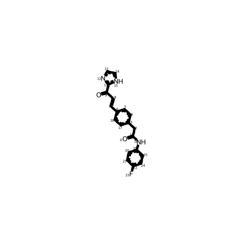 O=C(Cc1ccc(C=CC(=O)c2ncc[nH]2)cc1)Nc1ccc(F)cc1